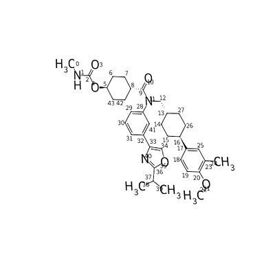 CNC(=O)O[C@H]1CC[C@H](C(=O)N(C[C@H]2CC[C@H](c3ccc(OC)c(C)c3)CC2)c2cccc(-c3coc(C(C)C)n3)c2)CC1